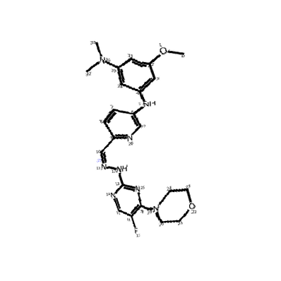 COc1cc(Nc2ccc(/C=N\Nc3ncc(F)c(N4CCOCC4)n3)nc2)cc(N(C)C)c1